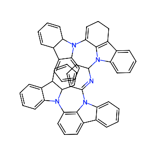 C1=CC2c3ccccc3N(C3=CCCc4c3n(C3CC=CC(n5c6ccccc6c6cccc(N7c8ccccc8C8C=CC=CC87)c65)=N3)c3ccccc43)C2C=C1